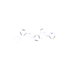 Cc1ccc(NC(=O)c2cc(F)cc(N3CCOCC3)c2)cc1C1C=CON1Cc1cccnc1